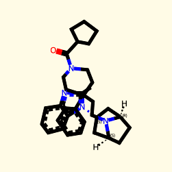 Cc1nc2ccccc2n1[C@@H]1C[C@H]2CC[C@@H](C1)N2CCC1(c2ccccc2)CCN(C(=O)C2CCCC2)CC1